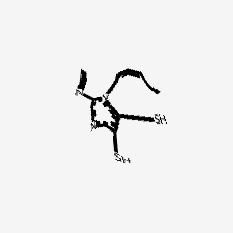 C=Nc1nc(S)c(S)n1/C=C\C